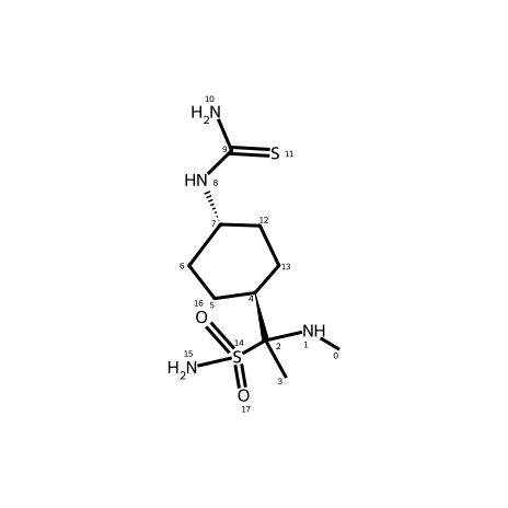 CNC(C)([C@H]1CC[C@H](NC(N)=S)CC1)S(N)(=O)=O